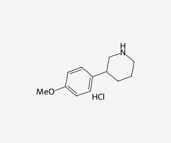 COc1ccc(C2CCCNC2)cc1.Cl